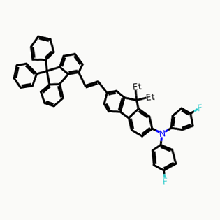 CCC1(CC)c2cc(/C=C/c3cccc4c3-c3ccccc3C4(c3ccccc3)c3ccccc3)ccc2-c2ccc(N(c3ccc(F)cc3)c3ccc(F)cc3)cc21